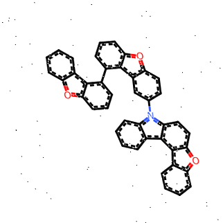 c1ccc2c(c1)oc1cccc(-c3cccc4oc5ccc(-n6c7ccccc7c7c8c(ccc76)oc6ccccc68)cc5c34)c12